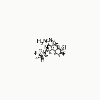 Nc1ncnc2c(-c3ccc(F)c(Cl)c3F)cc(N3C[C@H]4C[C@@H]4C3)nc12